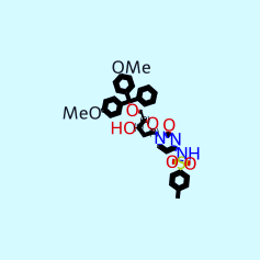 COc1ccc(C(OC[C@H]2O[C@@H](n3ccc(NS(=O)(=O)c4ccc(C)cc4)nc3=O)C[C@@H]2O)(c2ccccc2)c2ccc(OC)cc2)cc1